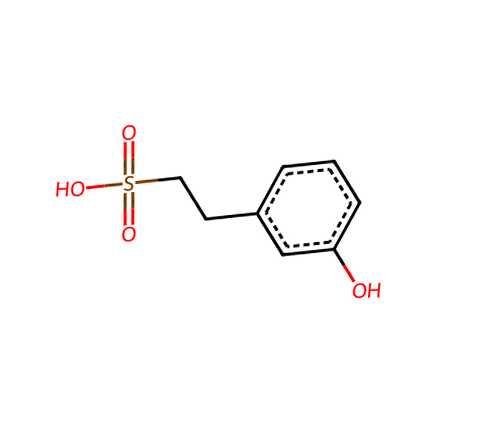 O=S(=O)(O)CCc1cccc(O)c1